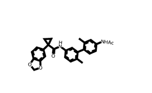 CC(=O)Nc1ccc(-c2cc(NC(=O)C3(c4ccc5c(c4)OCO5)CC3)ccc2C)c(C)c1